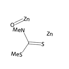 CNC(=S)SC.[O]=[Zn].[Zn]